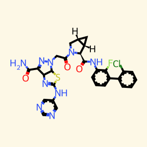 NC(=O)C1=NN(CC(=O)N2C[C@@H]3C[C@@H]3[C@H]2C(=O)Nc2cccc(-c3ccccc3Cl)c2F)C2SC(Nc3cncnc3)=NC12